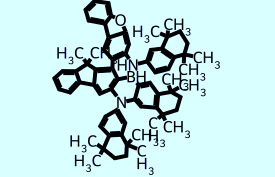 CC1(C)CCC(C)(C)c2cc(Nc3cc4oc5ccccc5c4cc3-c3c4c(cc5c3C(C)(C)c3ccccc3-5)N(c3ccc5c(c3)C(C)(C)CCC5(C)C)c3cc5c(cc3B4)C(C)(C)CCC5(C)C)ccc21